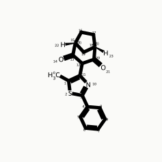 Cc1sc(-c2ccccc2)nc1C1C(=O)[C@@H]2CC[C@@H](C2)C1=O